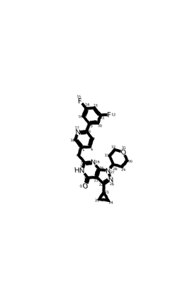 O=c1[nH]c(Cc2ccc(-c3cc(F)cc(F)c3)nc2)nc2c1c(C1CC1)nn2C1CCOCC1